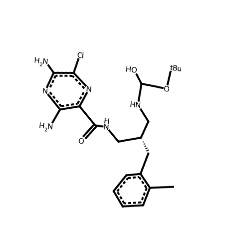 Cc1ccccc1C[C@H](CNC(=O)c1nc(Cl)c(N)nc1N)CNC(O)OC(C)(C)C